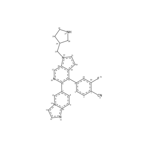 N#Cc1ccc(-c2c(-c3ccc4nccn4c3)ncc3c2ccn3CC2CCNC2)cc1F